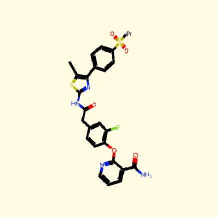 Cc1sc(NC(=O)Cc2ccc(Oc3ncccc3C(N)=O)c(F)c2)nc1-c1ccc(S(=O)(=O)C(C)C)cc1